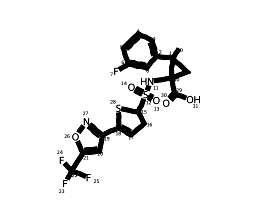 CC1(c2cccc(F)c2)CC1(NS(=O)(=O)C1CC=C(c2cc(C(F)(F)F)on2)S1)C(=O)O